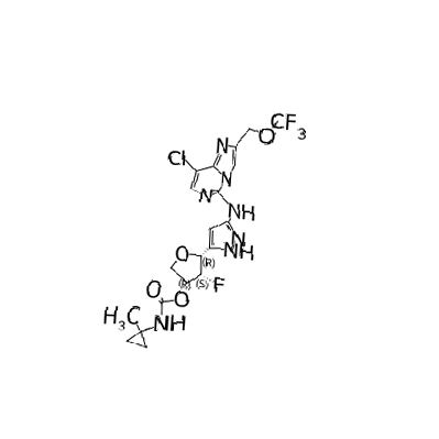 CC1(NC(=O)O[C@@H]2CO[C@H](c3cc(Nc4ncc(Cl)c5nc(COC(F)(F)F)cn45)n[nH]3)[C@@H]2F)CC1